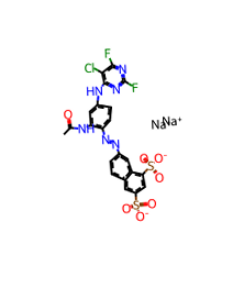 CC(=O)Nc1cc(Nc2nc(F)nc(F)c2Cl)ccc1/N=N/c1ccc2cc(S(=O)(=O)[O-])cc(S(=O)(=O)[O-])c2c1.[Na+].[Na+]